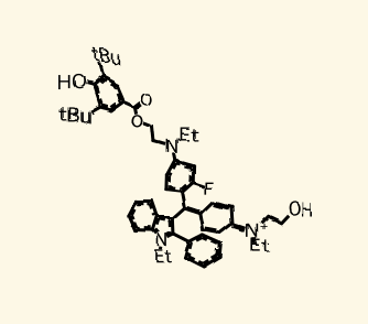 CCN(CCOC(=O)c1cc(C(C)(C)C)c(O)c(C(C)(C)C)c1)c1ccc(C(=C2C=CC(=[N+](CC)CCO)C=C2)c2c(-c3ccccc3)n(CC)c3ccccc23)c(F)c1